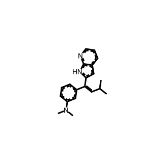 CC(C)/C=C(/c1cccc(N(C)C)c1)c1cc2cccnc2[nH]1